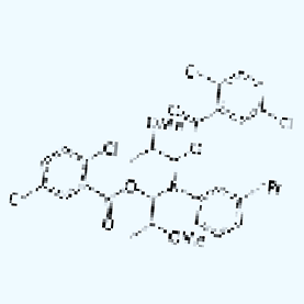 CCCc1cccc(N(C(OC(=O)c2cc(Cl)ccc2Cl)C(C)OC)C(OC(=O)c2cc(Cl)ccc2Cl)C(C)OC)c1